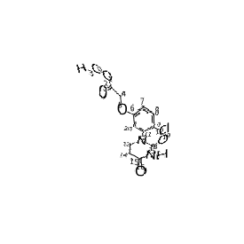 COC(=O)COc1ccc(Cl)c(N2CCC(=O)NC2=O)c1